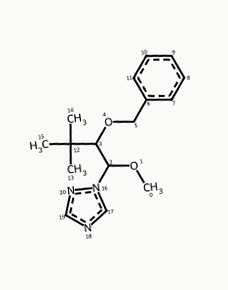 COC(C(OCc1ccccc1)C(C)(C)C)n1cncn1